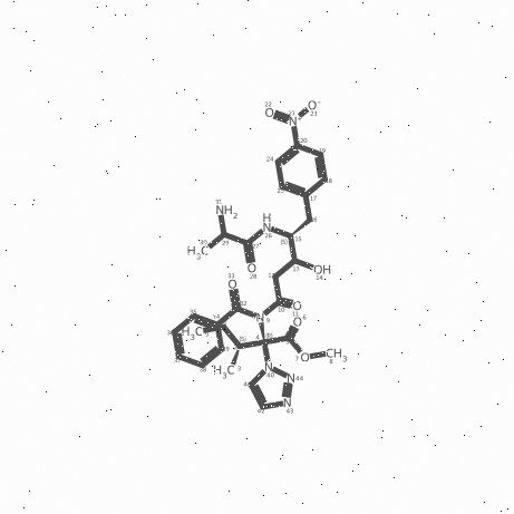 CC[C@H](C)[C@@](C(=O)OC)(N(C(=O)CC(O)[C@H](Cc1ccc([N+](=O)[O-])cc1)NC(=O)C(C)N)C(=O)c1ccccc1)n1ccnn1